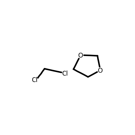 C1COCO1.ClCCl